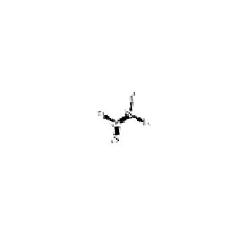 S=P(I)=S(I)I